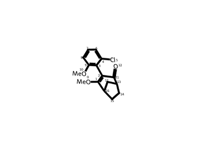 COC1=C(c2c(Cl)cccc2OC)C(=O)C2CCC1C2